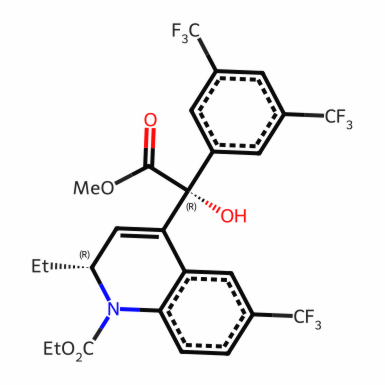 CCOC(=O)N1c2ccc(C(F)(F)F)cc2C([C@@](O)(C(=O)OC)c2cc(C(F)(F)F)cc(C(F)(F)F)c2)=C[C@H]1CC